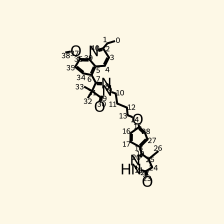 CCc1ccc2c(C3=NN(CCCCOc4ccc(C5=NNC(=O)CC5C)cc4)C(=O)C3(C)C)ccc(OC)c2n1